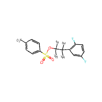 [2H]C([2H])(OS(=O)(=O)c1ccc([N+](=O)[O-])cc1)C([2H])([2H])c1cc(F)ccc1F